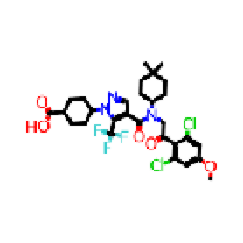 COc1cc(Cl)c(C(=O)CN(C(=O)c2cnn(C3CCC(C(=O)O)CC3)c2C(F)(F)F)C2CCC(C)(C)CC2)c(Cl)c1